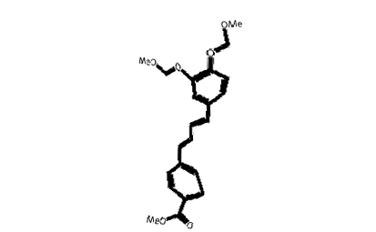 COCOc1ccc(C=CC=Cc2ccc(C(=O)OC)cc2)cc1OCOC